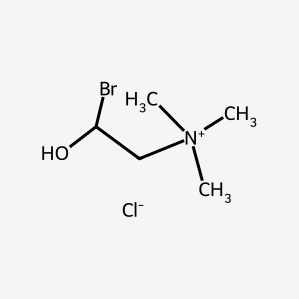 C[N+](C)(C)CC(O)Br.[Cl-]